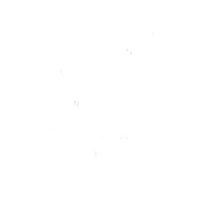 CCOC(=O)c1c(Cc2ccc(OC)nc2)cn(COCc2ccccc2)c1C=O